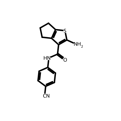 N#Cc1ccc(NC(=O)c2c(N)sc3c2CCC3)cc1